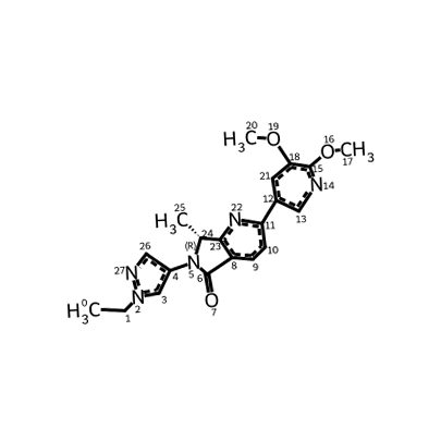 CCn1cc(N2C(=O)c3ccc(-c4cnc(OC)c(OC)c4)nc3[C@H]2C)cn1